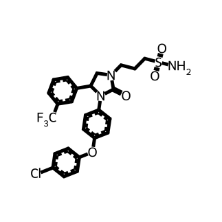 NS(=O)(=O)CCCN1CC(c2cccc(C(F)(F)F)c2)N(c2ccc(Oc3ccc(Cl)cc3)cc2)C1=O